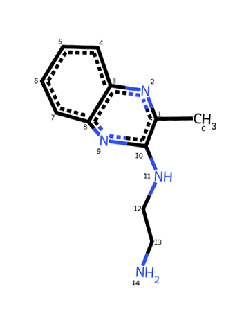 Cc1nc2ccccc2nc1NCCN